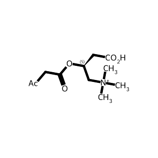 CC(=O)CC(=O)O[C@@H](CC(=O)O)C[N+](C)(C)C